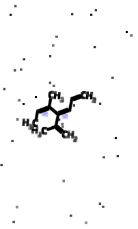 C=C/C=C(C(=C)C)\C(C)=C/C